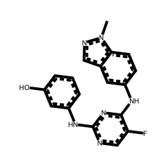 Cn1ncc2cc(Nc3nc(Nc4cccc(O)c4)ncc3F)ccc21